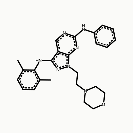 Cc1cccc(C)c1Nc1nn(CCN2CCOCC2)c2nc(Nc3ccccc3)ncc12